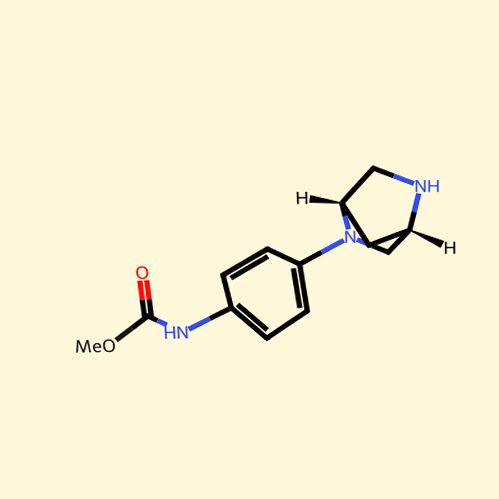 COC(=O)Nc1ccc(N2C[C@@H]3C[C@H]2CN3)cc1